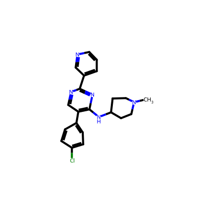 CN1CCC(Nc2nc(-c3cccnc3)ncc2-c2ccc(Cl)cc2)CC1